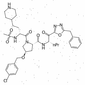 CCC[C@H](NC(=O)[C@@H]1C[C@@H](OCc2ccc(Cl)cc2)CN1C(=O)[C@@H](CCC1CCNCC1)NS(C)(=O)=O)C(=O)c1nnc(Cc2ccccc2)o1